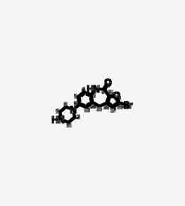 O=C1Nc2ccc(N3CCNCC3)cc2Cc2cc(Br)oc21